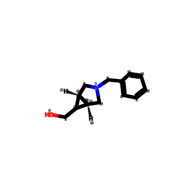 OCC1[C@H]2CN(Cc3ccccc3)C[C@@H]12